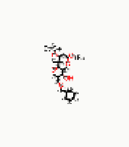 CC[Si](C)(CC)OC(CC(=O)OC(C)(C)C)C(C)(C)C(=O)C(C)C(O)C(C)COCc1ccccc1